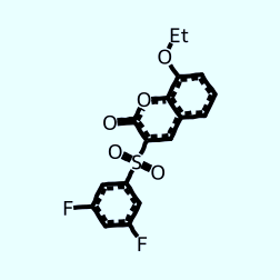 CCOc1cccc2cc(S(=O)(=O)c3cc(F)cc(F)c3)c(=O)oc12